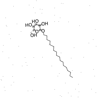 CCCCCCCCCCCCCCCCCCO[C@@H]1O[C@H](CO)[C@H](O)[C@H](O)[C@H]1O